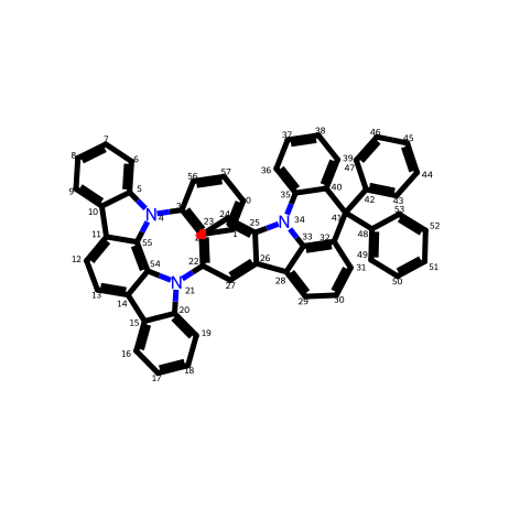 c1ccc(-n2c3ccccc3c3ccc4c5ccccc5n(-c5ccc6c(c5)c5cccc7c5n6-c5ccccc5C7(c5ccccc5)c5ccccc5)c4c32)cc1